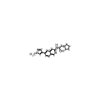 Cn1cc(-c2ccc3cnc(NC(O)CN4CCCC4)cc3c2)cn1